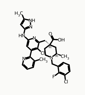 Cc1cc(Nc2cc(-c3ncccc3C)c(Cl)c(C[C@@]3(C(=O)O)CCN(Cc4cccc(Cl)c4F)[C@H](C)C3)n2)n[nH]1